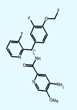 COc1cnc(C(=O)N[C@@H](c2ccc(OCF)c(F)c2)c2ncccc2F)cc1N